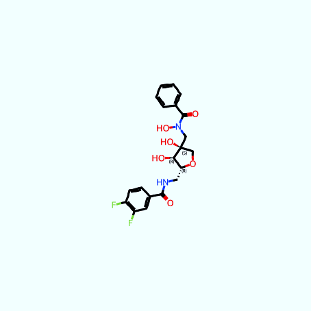 O=C(NC[C@H]1OC[C@@](O)(CN(O)C(=O)c2ccccc2)[C@@H]1O)c1ccc(F)c(F)c1